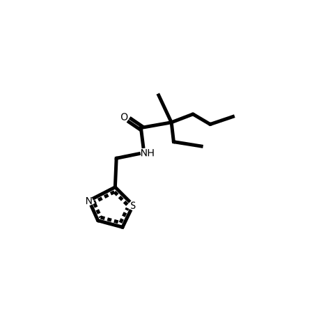 CCCC(C)(CC)C(=O)NCc1nccs1